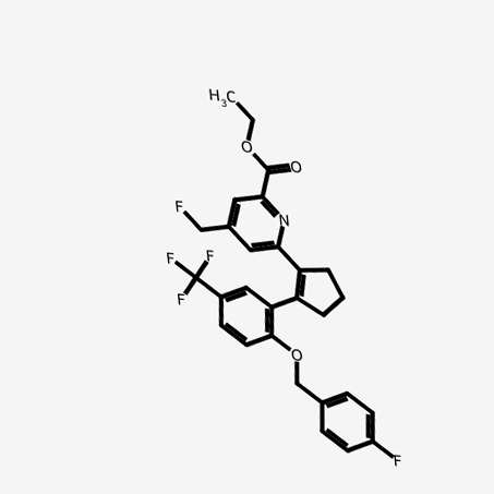 CCOC(=O)c1cc(CF)cc(C2=C(c3cc(C(F)(F)F)ccc3OCc3ccc(F)cc3)CCC2)n1